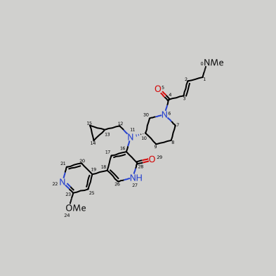 CNC/C=C/C(=O)N1CCC[C@H](N(CC2CC2)c2cc(-c3ccnc(OC)c3)c[nH]c2=O)C1